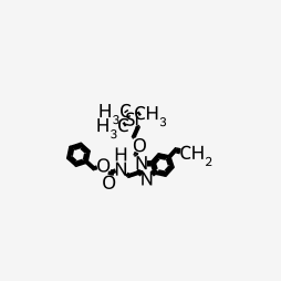 C=Cc1ccc2nc(CNC(=O)OCc3ccccc3)n(COCC[Si](C)(C)C)c2c1